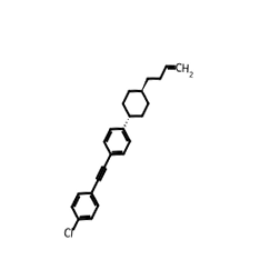 C=CCC[C@H]1CC[C@H](c2ccc(C#Cc3ccc(Cl)cc3)cc2)CC1